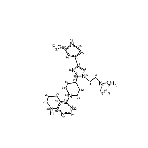 CN(C)CCn1cc(-c2ccnc(C(F)(F)F)c2)nc1C1CCN(c2ncnc3c2CCCN3)CC1